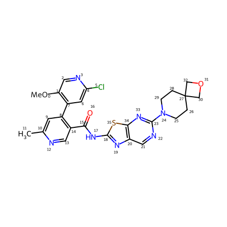 COc1cnc(Cl)cc1-c1cc(C)ncc1C(=O)Nc1nc2cnc(N3CCC4(CC3)COC4)nc2s1